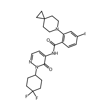 O=C(Nc1ccnn(C2CCC(F)(F)CC2)c1=O)c1ccc(I)cc1N1CCC2(CC1)CC2